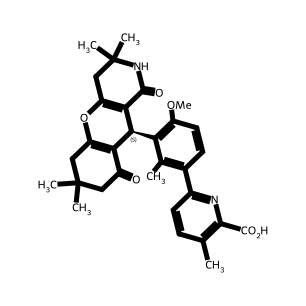 COc1ccc(-c2ccc(C)c(C(=O)O)n2)c(C)c1[C@H]1C2=C(CC(C)(C)CC2=O)OC2=C1C(=O)NC(C)(C)C2